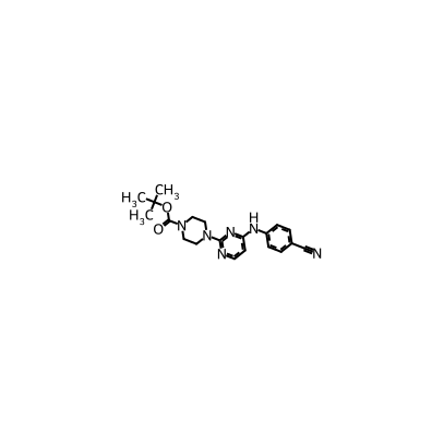 CC(C)(C)OC(=O)N1CCN(c2nccc(Nc3ccc(C#N)cc3)n2)CC1